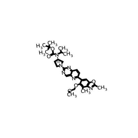 COCOc1c(-c2ccc3nc(N4CC[C@H](N(C(=O)OC(C)(C)C)C(C)C)C4)ncc3n2)cc2oc(C)nc2c1C